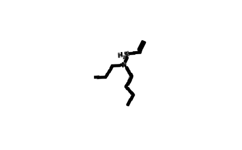 C=C[SiH2]N(CCC)CCCC